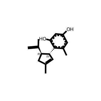 C=C(C)[C@@H]1CC(C)=C[C@H]1c1c(C)cc(O)cc1O